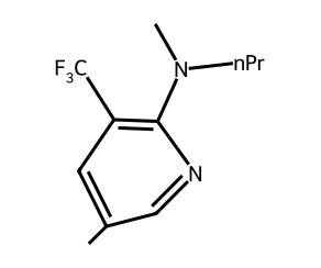 CCCN(C)c1ncc(C)cc1C(F)(F)F